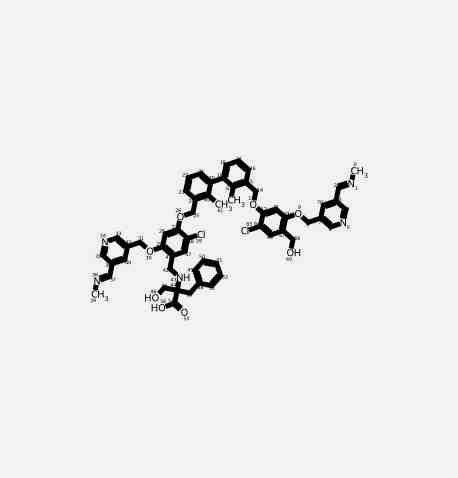 C/N=C/c1cncc(COc2cc(OCc3cccc(-c4cccc(COc5cc(OCc6cncc(/C=N/C)c6)c(CNC(CO)(Cc6ccccc6)C(=O)O)cc5Cl)c4C)c3C)c(Cl)cc2CO)c1